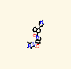 COc1cc2c(cc1N1CC(C)N(C)C(C)C1)N(C(=O)c1ccc(C3CCN(C)CC3)c3ccccc13)CC2